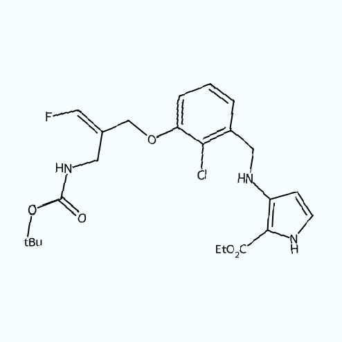 CCOC(=O)c1[nH]ccc1NCc1cccc(OC/C(=C/F)CNC(=O)OC(C)(C)C)c1Cl